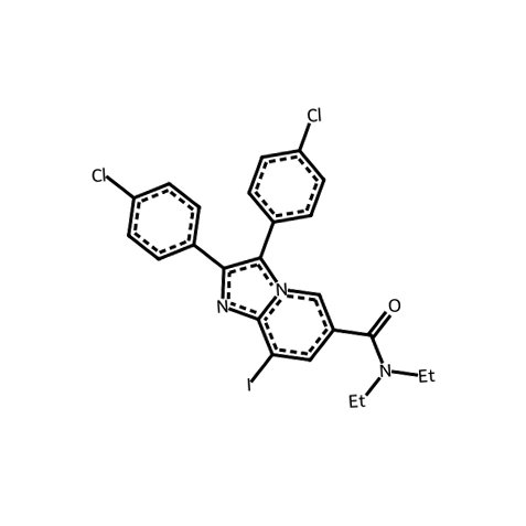 CCN(CC)C(=O)c1cc(I)c2nc(-c3ccc(Cl)cc3)c(-c3ccc(Cl)cc3)n2c1